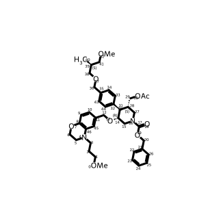 COCCCN1CCOc2ccc(CO[C@H]3CN(C(=O)OCc4ccccc4)C[C@@H](COC(C)=O)[C@@H]3c3ccc(COC[C@@H](C)COC)cc3)cc21